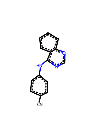 N#Cc1ccc(Nc2ncnc3ccccc23)cc1